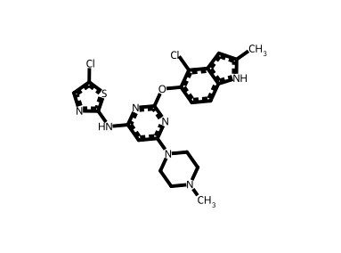 Cc1cc2c(Cl)c(Oc3nc(Nc4ncc(Cl)s4)cc(N4CCN(C)CC4)n3)ccc2[nH]1